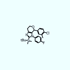 Cc1cc(C2OCCc3nc([Si](C)(C)C(C)(C)C)n(-c4ccc(F)cc4)c32)ccc1Cl